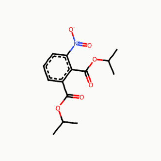 CC(C)OC(=O)c1cccc([N+](=O)[O-])c1C(=O)OC(C)C